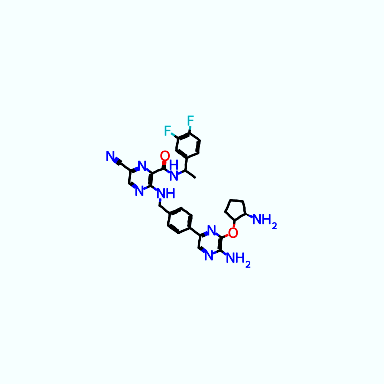 CC(NC(=O)c1nc(C#N)cnc1NCc1ccc(-c2cnc(N)c(OC3CCC[C@H]3N)n2)cc1)c1ccc(F)c(F)c1